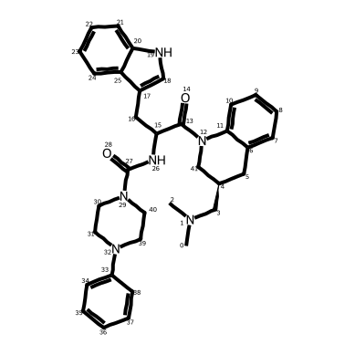 CN(C)C[C@@H]1Cc2ccccc2N(C(=O)C(Cc2c[nH]c3ccccc23)NC(=O)N2CCN(c3ccccc3)CC2)C1